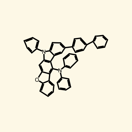 c1ccc(-c2ccc(-c3ccc4c(c3)c3c(N(c5ccccc5)c5ccccc5)c5c(cc3n4-c3ccccc3)oc3ccccc35)cc2)cc1